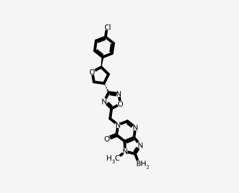 Bc1nc2ncn(Cc3nc([C@@H]4CO[C@@H](c5ccc(Cl)cc5)C4)no3)c(=O)c2n1C